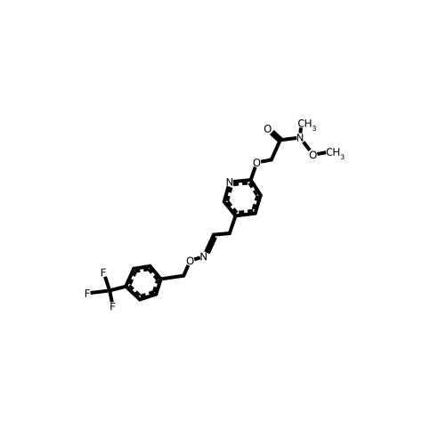 CON(C)C(=O)COc1ccc(CC=NOCc2ccc(C(F)(F)F)cc2)cn1